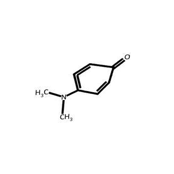 CN(C)C1=C=CC(=O)C=C1